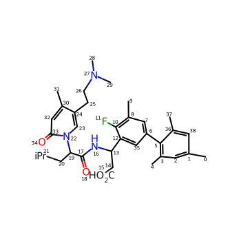 Cc1cc(C)c(-c2cc(C)c(F)c(C(CC(=O)O)NC(=O)C(CC(C)C)n3cc(CCN(C)C)c(C)cc3=O)c2)c(C)c1